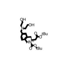 Cc1ccc(CN(CCO)CCO)cc1C[C@@H](CC(=O)OC(C)(C)C)NC(=O)OC(C)(C)C